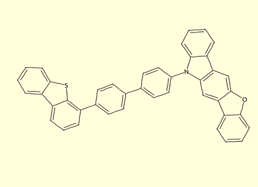 c1ccc2c(c1)oc1cc3c4ccccc4n(-c4ccc(-c5ccc(-c6cccc7c6sc6ccccc67)cc5)cc4)c3cc12